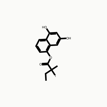 CCC(C)(I)C(=O)Oc1cccc2c(O)cc(O)cc12